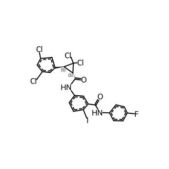 O=C(Nc1ccc(F)cc1)c1cc(NC(=O)[C@@H]2[C@@H](c3cc(Cl)cc(Cl)c3)C2(Cl)Cl)ccc1I